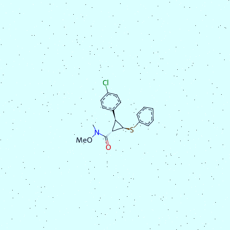 CON(C)C(=O)[C@H]1[C@H](Sc2ccccc2)[C@@H]1c1ccc(Cl)cc1